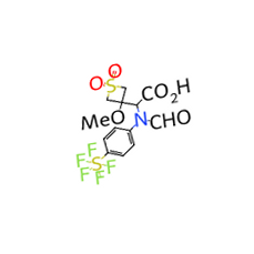 COC1(C(C(=O)O)N(C=O)c2ccc(S(F)(F)(F)(F)F)cc2)CS(=O)(=O)C1